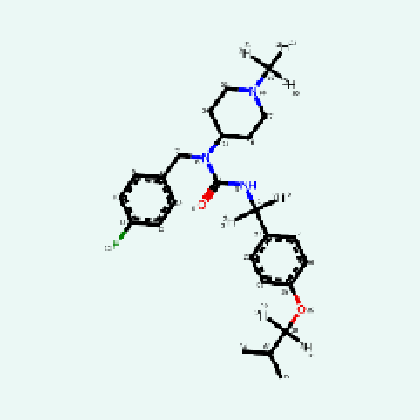 [2H]C([2H])(NC(=O)N(Cc1ccc(F)cc1)C1CCN(C([2H])([2H])[2H])CC1)c1ccc(OC([2H])([2H])C(C)C)cc1